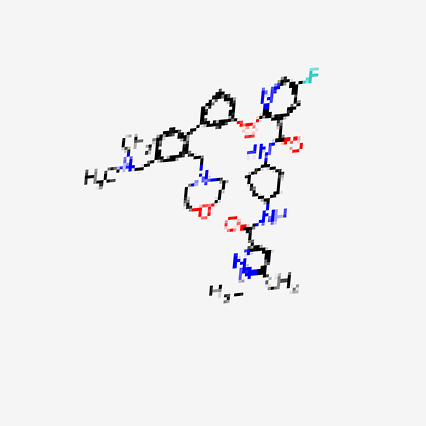 Cc1cc(C(=O)NC2CCC(NC(=O)c3cc(F)cnc3Oc3cccc(-c4ccc(CN(C)C)cc4CN4CCOCC4)c3)CC2)nn1C